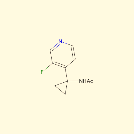 CC(=O)NC1(c2ccncc2F)CC1